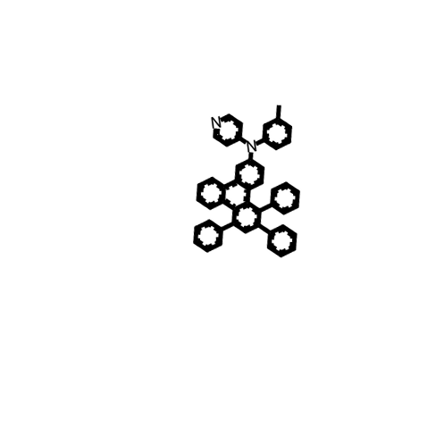 Cc1cccc(N(c2ccncc2)c2ccc3c(c2)c2ccccc2c2c(-c4ccccc4)cc(-c4ccccc4)c(-c4ccccc4)c32)c1